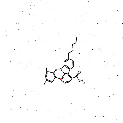 CCCCCc1c[c]c2c3c(C(N)=O)cccc3n(Cc3c(C)cc(C)cc3C)c2c1